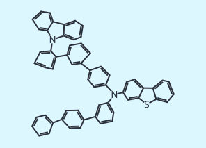 c1ccc(-c2ccc(-c3cccc(N(c4ccc(-c5cccc(-c6ccccc6-n6c7ccccc7c7ccccc76)c5)cc4)c4ccc5c(c4)sc4ccccc45)c3)cc2)cc1